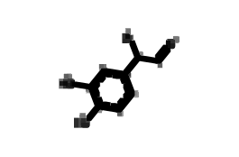 O=CC(Br)c1ccc(O)c(O)c1